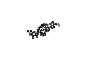 Nc1nc2c(ncn2[C@@H]2O[C@@H]3COP(=O)(S)OC4[C@@H](COP(=O)(S)O[C@H]2C3O)O[C@@H](n2cnc3c(N)ncnc32)[C@H]4F)c(=O)[nH]1